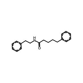 O=C(CCCCc1ccccc1)NCCc1ccccc1